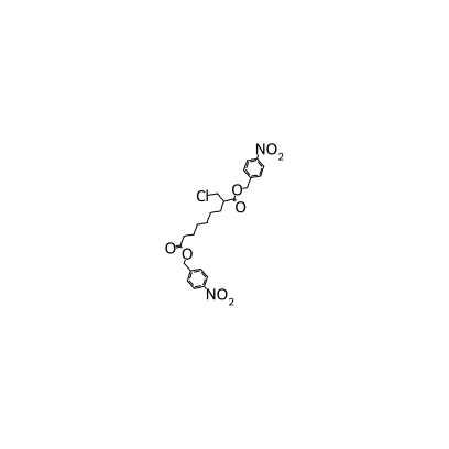 O=C(CCCCCCC(CCl)C(=O)OCc1ccc([N+](=O)[O-])cc1)OCc1ccc([N+](=O)[O-])cc1